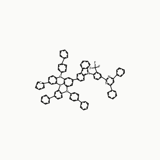 FC(F)(F)c1cc(-c2nc(-c3ccccc3)cc(-c3ccccc3)n2)ccc1-n1c2ccccc2c2cc(-c3cc4c5c(c3)N(c3ccc(-c6ccccc6)cc3)c3ccc(-c6ccccc6)cc3B5c3cc(-c5ccccc5)ccc3N4c3ccc(-c4ccccc4)cc3)ccc21